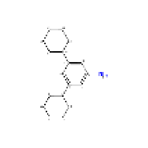 Nc1cc(C2CCCCC2)cc(C2CCCCC2)c1